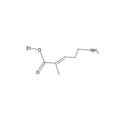 CCOC(=O)C(C)=CCCN